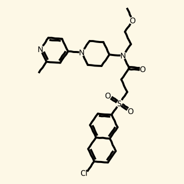 COCCN(C(=O)CCS(=O)(=O)c1ccc2cc(Cl)ccc2c1)C1CCN(c2ccnc(C)c2)CC1